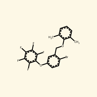 Cc1cccc(C)c1OCc1cc(Oc2c(F)c(F)c(F)c(F)c2F)ccc1Br